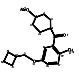 COC1CCC(C(=O)c2cc(OCC3CCC3)ccc2C)CC1